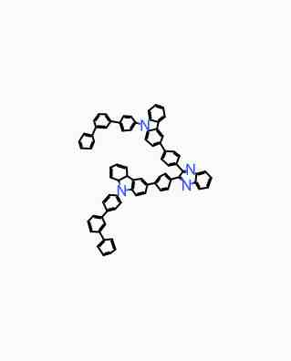 C1=CC2c3cc(-c4ccc(-c5nc6ccccc6nc5-c5ccc(-c6ccc7c(c6)c6ccccc6n7-c6ccc(-c7cccc(-c8ccccc8)c7)cc6)cc5)cc4)ccc3N(c3ccc(-c4cccc(-c5ccccc5)c4)cc3)C2C=C1